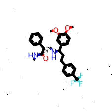 CNC(=O)[C@@H](CNC(CCc1ccc(C(F)(F)F)cc1)c1ccc(OC)c(OC)c1)c1ccccc1